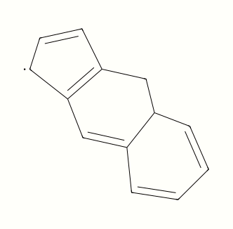 [CH]1C=CC2=C1C=C1C=CC=CC1C2